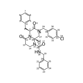 O=C1[C@H](Cc2ccccc2)N2C(=O)CCN(C(=O)NCc3ccccc3)[C@H]2CN1Cc1ccc(Cl)cc1